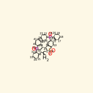 C=C/C(=C\C1=CS(=O)(=O)c2ccc(P(=O)(c3ccccc3)C3C=CC=CC3)cc21)P(=O)(c1ccccc1)c1ccccc1